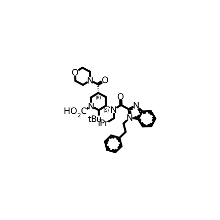 CC(C)CN(C(=O)c1nc2ccccc2n1CCc1ccccc1)[C@H]1C[C@@H](C(=O)N2CCOCC2)CN(C(=O)O)C1C(C)(C)C